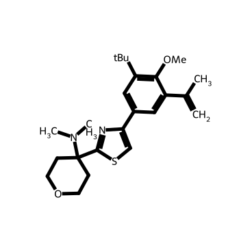 C=C(C)c1cc(-c2csc(C3(N(C)C)CCOCC3)n2)cc(C(C)(C)C)c1OC